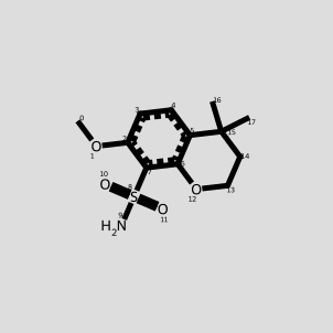 COc1ccc2c(c1S(N)(=O)=O)OCCC2(C)C